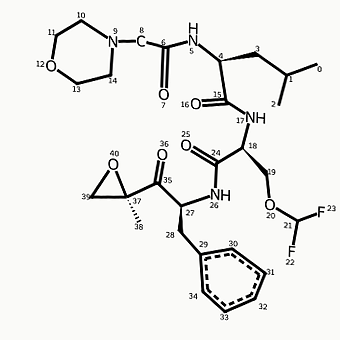 CC(C)C[C@H](NC(=O)CN1CCOCC1)C(=O)N[C@@H](COC(F)F)C(=O)N[C@@H](Cc1ccccc1)C(=O)[C@@]1(C)CO1